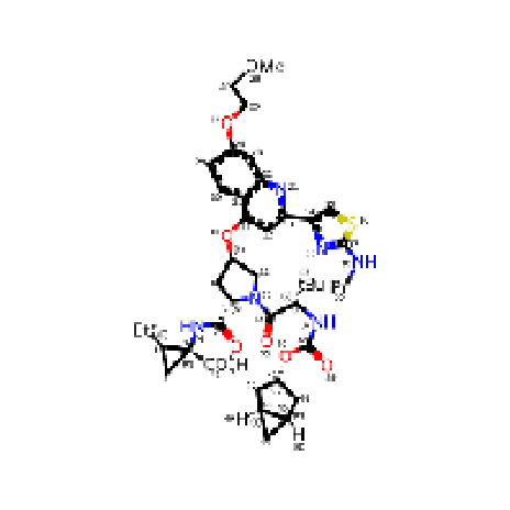 CC[C@@H]1C[C@]1(NC(=O)[C@@H]1C[C@@H](Oc2cc(-c3csc(NC(C)C)n3)nc3cc(OCCOC)ccc23)CN1C(=O)[C@@H](NC(=O)O[C@H]1C[C@@H]2C[C@@H]2C1)C(C)(C)C)C(=O)O